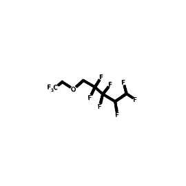 FC(F)C(F)C(F)(F)C(F)(F)COCC(F)(F)F